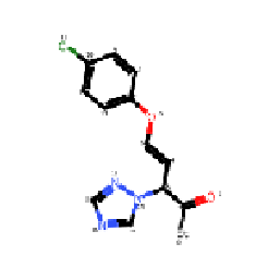 CCC(=O)C(C=COc1ccc(Cl)cc1)n1cncn1